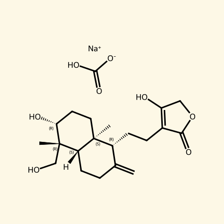 C=C1CC[C@@H]2[C@](C)(CO)[C@H](O)CC[C@@]2(C)[C@@H]1CCC1=C(O)COC1=O.O=C([O-])O.[Na+]